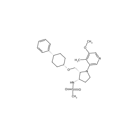 COc1cncc(N2CC[C@H](NS(C)(=O)=O)[C@@H]2CO[C@H]2CC[C@@H](c3ccccc3)CC2)c1C